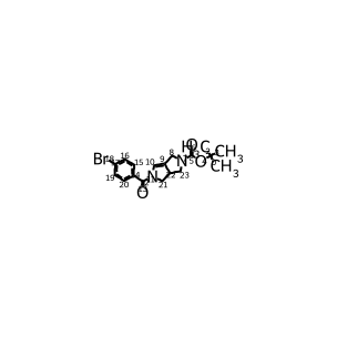 CC(C)(C)OC(=O)N1CC2=CN(C(=O)c3ccc(Br)cc3)CC2C1